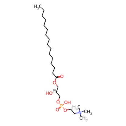 CCCCCCCCCCCCCCCC(=O)OC[C@@H](O)COP(=O)(O)OCC[N+](C)(C)C